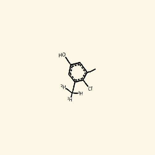 [2H]C([2H])([2H])c1cc(O)cc(C)c1Cl